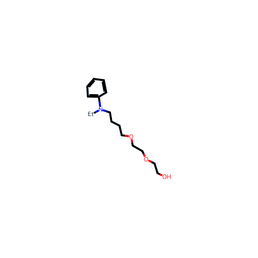 CCN(CCCCOCCOCCO)c1ccccc1